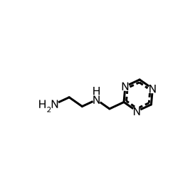 NCCNCc1ncncn1